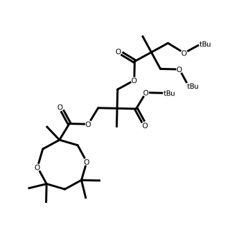 CC(C)(C)OCC(C)(COC(C)(C)C)C(=O)OCC(C)(COC(=O)C1(C)COC(C)(C)CC(C)(C)OC1)C(=O)OC(C)(C)C